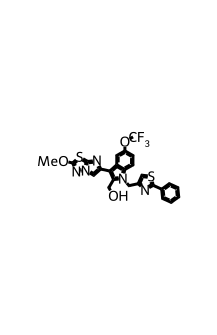 COc1nn2cc(-c3c(CO)n(Cc4csc(-c5ccccc5)n4)c4ccc(OC(F)(F)F)cc34)nc2s1